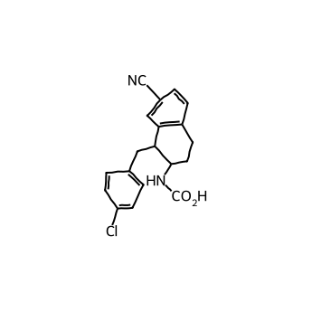 N#Cc1ccc2c(c1)C(Cc1ccc(Cl)cc1)C(NC(=O)O)CC2